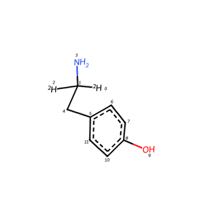 [2H]C([2H])(N)Cc1ccc(O)cc1